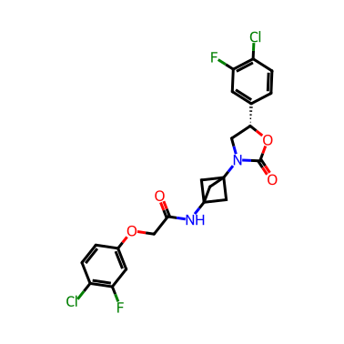 O=C(COc1ccc(Cl)c(F)c1)NC12CC(N3C[C@H](c4ccc(Cl)c(F)c4)OC3=O)(C1)C2